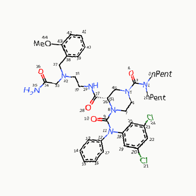 CCCCCN(CCCCC)C(=O)N1CCN(C(=O)N(c2ccccc2)c2cc(Cl)cc(Cl)c2)[C@H](C(=O)NCCN(CC(N)=O)Cc2ccccc2OC)C1